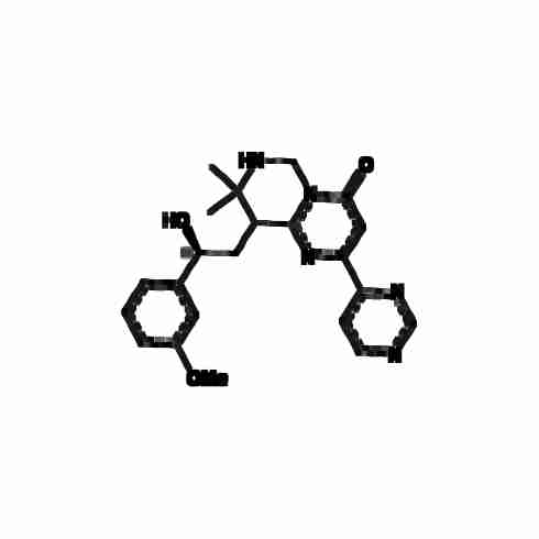 COc1cccc([C@@H](O)CC2c3nc(-c4ccncn4)cc(=O)n3CNC2(C)C)c1